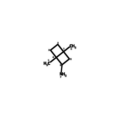 CC12CCC1(C)C(N)C2